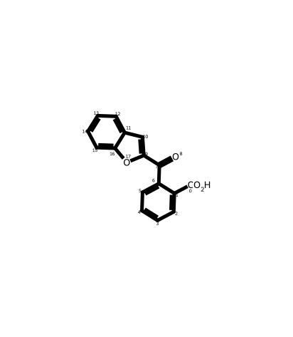 O=C(O)c1ccccc1C(=O)c1cc2ccccc2o1